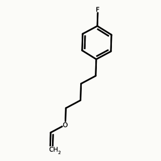 C=COCCCCc1ccc(F)cc1